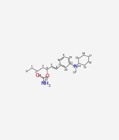 CCCCC(C=Cc1cccc(N(C)C2CCCCC2)c1)OC(N)=O